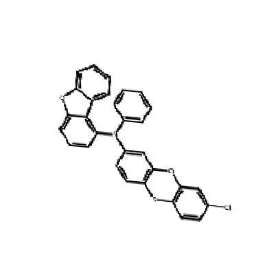 Clc1ccc2c(c1)Oc1cc(N(c3ccccc3)c3cccc4oc5ccccc5c34)ccc1S2